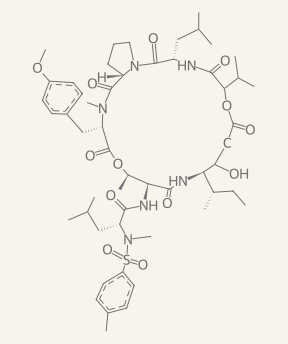 CC[C@H](C)[C@H]1NC(=O)[C@@H](NC(=O)[C@@H](CC(C)C)N(C)S(=O)(=O)c2ccc(C)cc2)[C@@H](C)OC(=O)[C@H](Cc2ccc(OC)cc2)N(C)C(=O)[C@@H]2CCCN2C(=O)[C@H](CC(C)C)NC(=O)C(C(C)C)OC(=O)CC1O